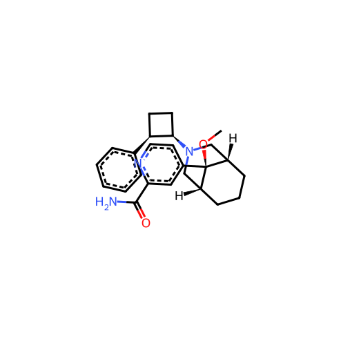 CO[C@]1(c2ccnc(C(N)=O)c2)[C@@H]2CCC[C@H]1CN([C@@H]1CC[C@@H]1c1ccccc1)C2